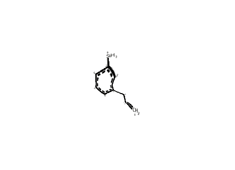 C=CCc1cccc([SiH3])c1